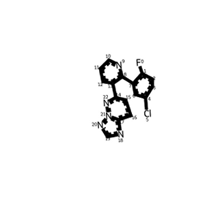 Fc1ccc(Cl)cc1-c1ncccc1-c1ccc2ncnn2n1